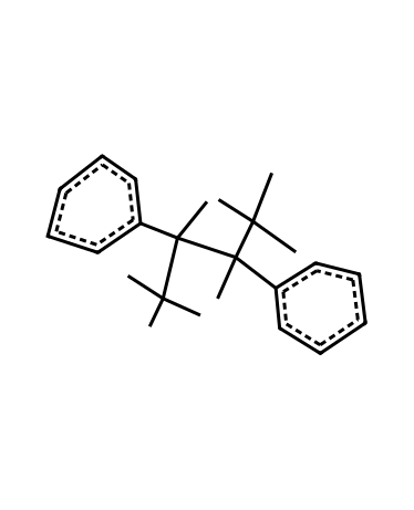 CC(C)(C)C(C)(c1ccccc1)C(C)(c1ccccc1)C(C)(C)C